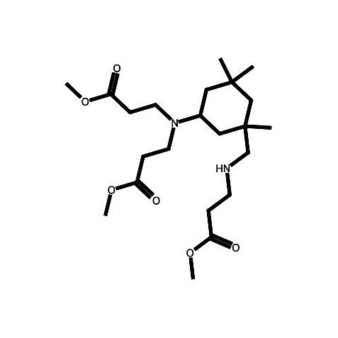 COC(=O)CCNCC1(C)CC(N(CCC(=O)OC)CCC(=O)OC)CC(C)(C)C1